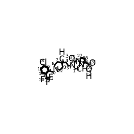 CCN(CCC1(C)CCN(Cc2cc(Cl)ccc2C(F)(F)F)CC1)C(=O)n1ccc(C(=O)O)n1